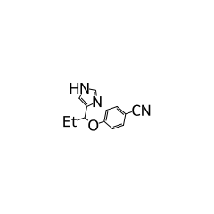 CCC(Oc1ccc(C#N)cc1)c1c[nH]cn1